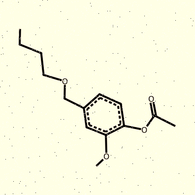 CCCCOCc1ccc(OC(C)=O)c(OC)c1